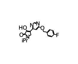 CC(C)N1CC(c2cc(OCc3ccc(F)cc3)ncn2)=C(O)C1=O